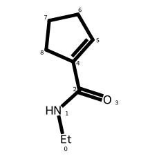 CCNC(=O)C1=CCCC1